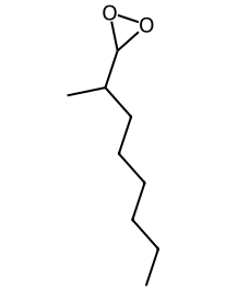 CCCCCCC(C)C1OO1